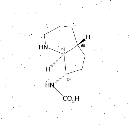 O=C(O)N[C@H]1CC[C@H]2CCCN[C@@H]21